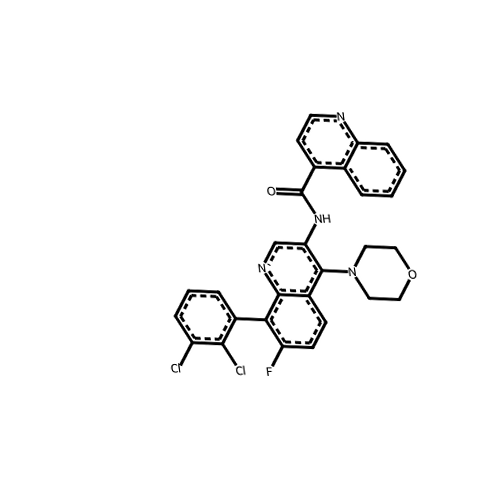 O=C(Nc1cnc2c(-c3cccc(Cl)c3Cl)c(F)ccc2c1N1CCOCC1)c1ccnc2ccccc12